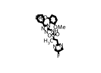 COc1cccc(OC)c1-n1c(NS(=O)(=O)[C@H](C)Cc2ncc(F)cn2)nnc1-c1ccccc1